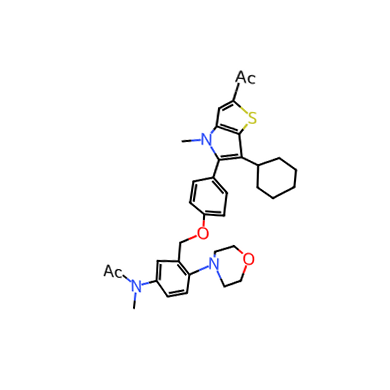 CC(=O)c1cc2c(s1)c(C1CCCCC1)c(-c1ccc(OCc3cc(N(C)C(C)=O)ccc3N3CCOCC3)cc1)n2C